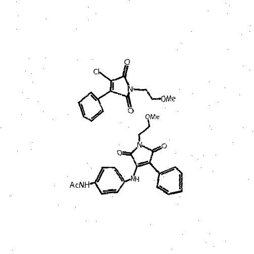 COCCN1C(=O)C(Cl)=C(c2ccccc2)C1=O.COCCN1C(=O)C(Nc2ccc(NC(C)=O)cc2)=C(c2ccccc2)C1=O